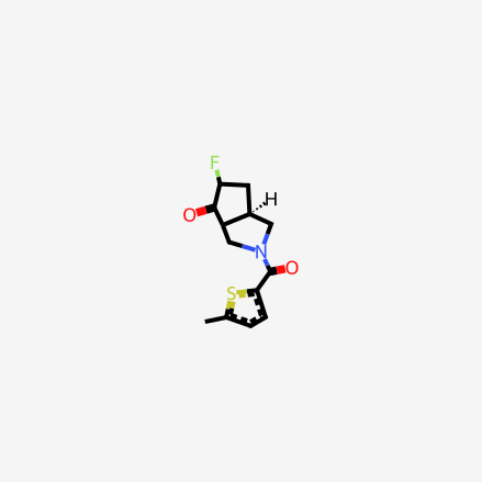 Cc1ccc(C(=O)N2CC3C(=O)C(F)C[C@H]3C2)s1